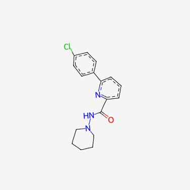 O=C(NN1CCCCC1)c1cccc(-c2ccc(Cl)cc2)n1